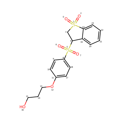 O=S1(=O)CC(S(=O)(=O)c2ccc(OCCCO)cc2)c2ccccc21